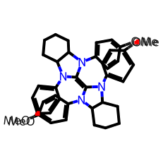 COc1ccc(N2C(=C3N(c4ccc(OC)cc4)C4CCCCC4N3c3ccc(OC)cc3)N(c3ccc(OC)cc3)C3CCCCC32)cc1